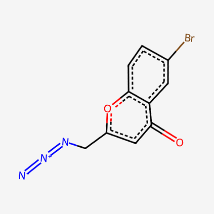 [N-]=[N+]=NCc1cc(=O)c2cc(Br)ccc2o1